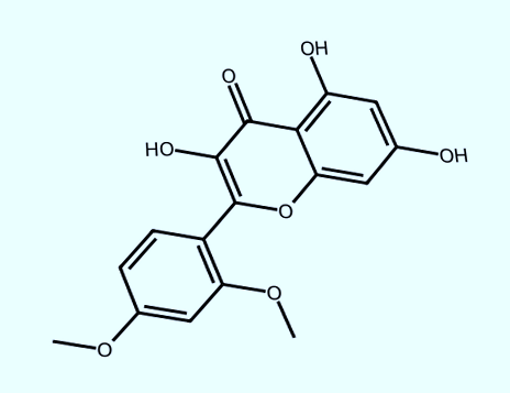 COc1ccc(-c2oc3cc(O)cc(O)c3c(=O)c2O)c(OC)c1